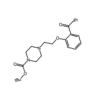 CC(C)C(=O)c1ccccc1OCCN1CCN(C(=O)OC(C)(C)C)CC1